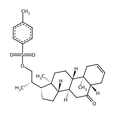 Cc1ccc(S(=O)(=O)OC[C@@H](C)[C@H]2CC[C@H]3[C@@H]4CC(=O)[C@H]5CC=CC[C@]5(C)[C@H]4CC[C@]23C)cc1